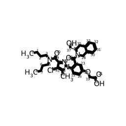 CCCCN(CCCC)C(=O)c1nn(-c2ccc(OCC(=O)O)cc2C(=O)N2Cc3ccccc3C[C@H]2CO)c(C)c1Cl